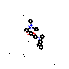 CC1(C)c2ccccc2-c2cc3c4ccccc4n(-c4ccc5c(c4)oc4cc6c(cc45)oc4cccc(-c5nc(-c7ccccc7)nc(-c7ccccc7)n5)c46)c3cc21